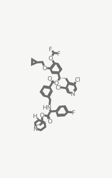 O=C(O[C@@H](Cc1c(Cl)cncc1Cl)c1ccc(OC(F)F)c(OCC2CC2)c1)c1cccc(CNC(C(=O)O[C@H]2CN3CCC2CC3)c2ccc(F)cc2)c1